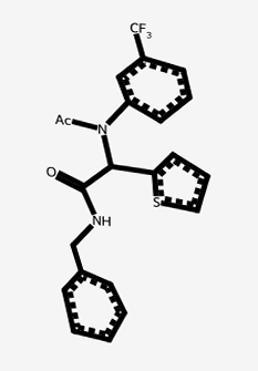 CC(=O)N(c1cccc(C(F)(F)F)c1)C(C(=O)NCc1ccccc1)c1cccs1